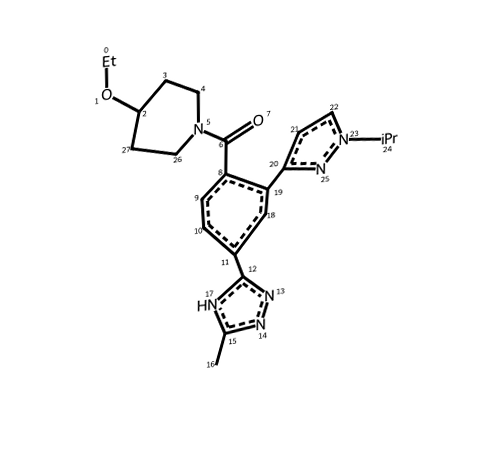 CCOC1CCN(C(=O)c2ccc(-c3nnc(C)[nH]3)cc2-c2ccn(C(C)C)n2)CC1